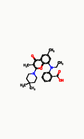 CCN(c1ccccc1C(=O)O)c1cc(C)cc2c(=O)c(C)c(N3CCC(C)(C)CC3)oc12